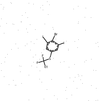 CCC(F)(F)Sc1cc(I)c(Br)c(I)c1